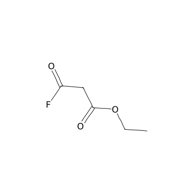 CCOC(=O)CC(=O)F